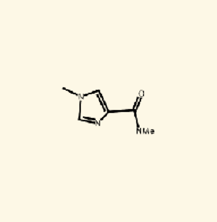 CNC(=O)c1cn(C)cn1